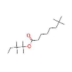 CCC(C)(C)C(C)(C)OC(=O)CCCCCC(C)(C)C